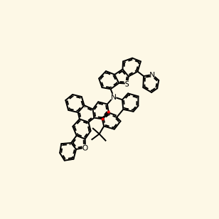 CC(C)(C)c1ccc(-c2ccccc2N(c2ccc3c(c2)c2ccccc2c2cc4c(cc32)oc2ccccc24)c2cccc3c2sc2c(-c4ccccn4)cccc23)cc1